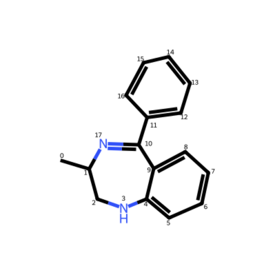 CC1CNc2ccccc2C(c2ccccc2)=N1